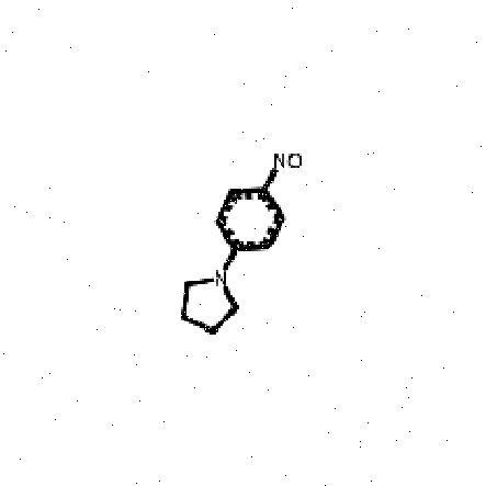 O=Nc1ccc(N2CCCC2)cc1